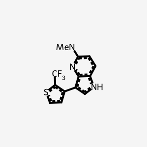 CNc1ccc2[nH]cc(-c3ccsc3C(F)(F)F)c2n1